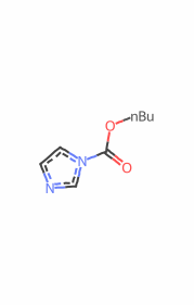 CCCCOC(=O)n1ccnc1